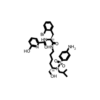 CC(C)CN([C@H](CO)CCCCNC(=O)[C@H](Cc1ccccc1Br)NC(=O)c1cccc(O)n1)S(=O)(=O)c1ccc(N)cc1